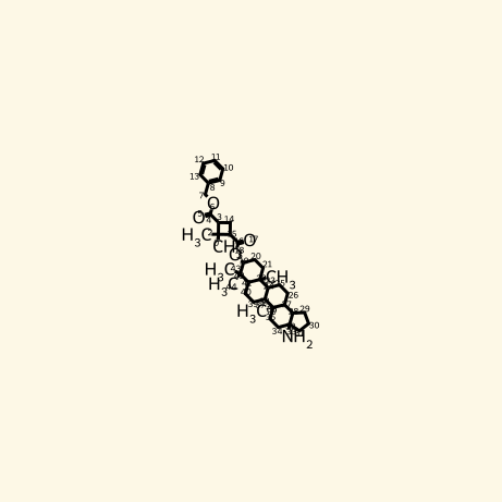 CC1(C)C(C(=O)OCc2ccccc2)CC1C(=O)OC1CCC2(C)C3CCC4C5CCCC5(N)CC[C@@]4(C)C3CCC2C1(C)C